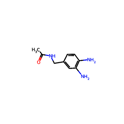 CC(=O)NCc1ccc(N)c(N)c1